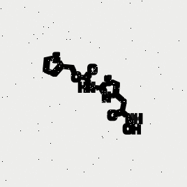 O=C(Cc1csc(NC(=O)OCc2cccs2)n1)NO